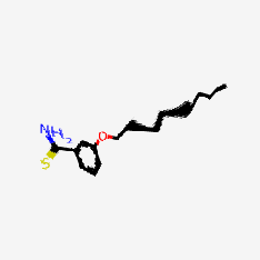 CCCCCCCCOc1cccc(C(N)=S)c1